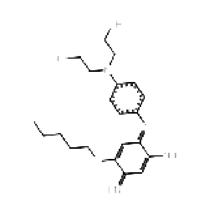 CCCCCOC1=CC(=Nc2ccc(N(CCO)CCO)cc2)C(N)=CC1=N